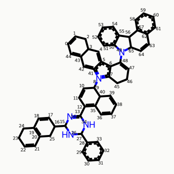 C1=CCC2C=c3c4c(n(C5C=CC(C6=NC(C7C=CC8=C(C=CCC8)C7)NC(c7ccccc7)N6)=C6C=CC=CC65)c3=CC2=C1)CCC=C4N1c2ccccc2C2c3ccccc3C=CC21